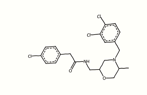 CC1COC(CNC(=O)Cc2ccc(Cl)cc2)CN1Cc1ccc(Cl)c(Cl)c1